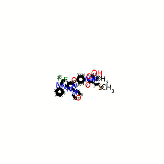 CSCC[C@@H](C(=O)N[C@H]1CC[C@H](Oc2cc(-n3c(C(F)F)nc4ccccc43)nc(N3CCOCC3)n2)CC1)N(C)C(=O)O